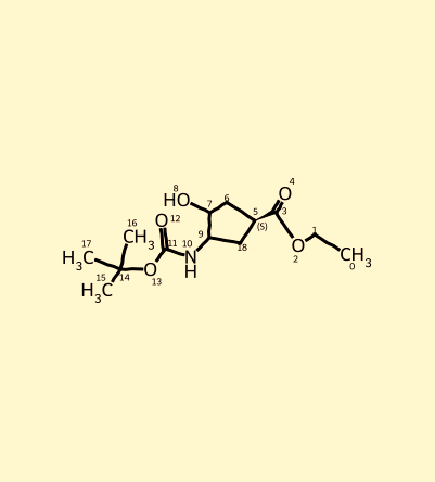 CCOC(=O)[C@@H]1CC(O)C(NC(=O)OC(C)(C)C)C1